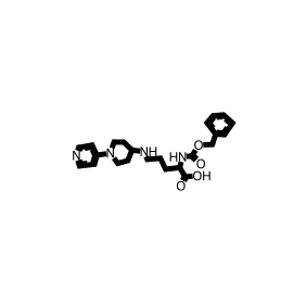 O=C(NC(CCCNC1CCN(c2ccncc2)CC1)C(=O)O)OCc1ccccc1